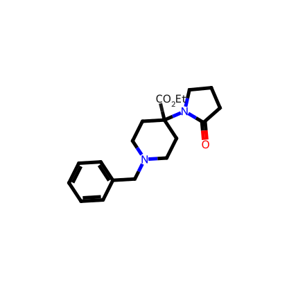 CCOC(=O)C1(N2CCCC2=O)CCN(Cc2ccccc2)CC1